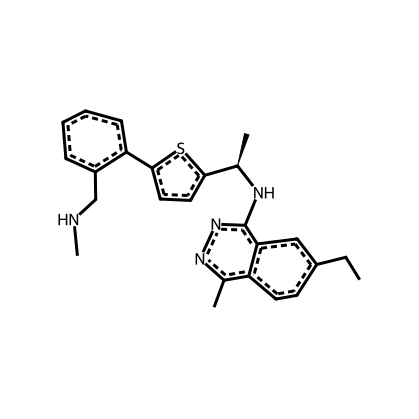 CCc1ccc2c(C)nnc(N[C@H](C)c3ccc(-c4ccccc4CNC)s3)c2c1